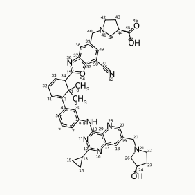 CC1(C)C(c2cccc(Nc3nc(C4CC4)nc4cc(CN5CC[C@@H](O)C5)cnc34)c2)=CC=CC1c1nc2cc(CN3CC[C@@H](C(=O)O)C3)cc(C#N)c2o1